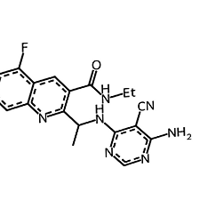 CCNC(=O)c1cc2c(F)cccc2nc1C(C)Nc1ncnc(N)c1C#N